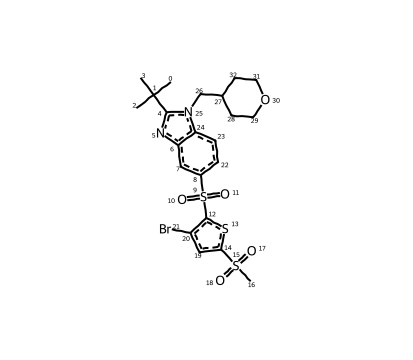 CC(C)(C)c1nc2cc(S(=O)(=O)c3sc(S(C)(=O)=O)cc3Br)ccc2n1CC1CCOCC1